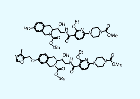 CCOc1nc(N2CCN(C(=O)OC)CC2)ccc1C(=O)NC[C@@H](O)[C@@H]1Cc2ccc(O)cc2CN1C(=O)OC(C)(C)C.CCOc1nc(N2CCN(C(=O)OC)CC2)ccc1C(=O)NC[C@@H](O)[C@@H]1Cc2ccc(OCc3ocnc3C)cc2CN1C(=O)OC(C)(C)C